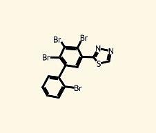 Brc1ccccc1-c1cc(-c2nncs2)c(Br)c(Br)c1Br